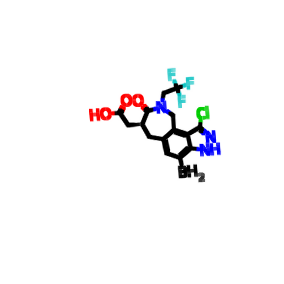 Bc1cc2c(c3c(Cl)n[nH]c13)CN(CC(F)(F)F)C(=O)[C@H](CC(=O)O)C2